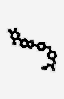 CCC1CC(=O)NN=C1c1ccc2nc(-c3ccc(OC4CCN(OC(=O)OC(C)(C)C)CC4)cc3)oc2c1